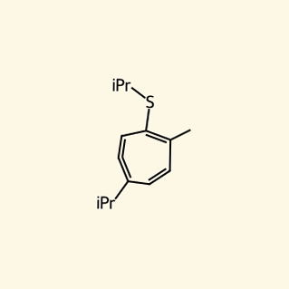 CC1=C(SC(C)C)C=C=C(C(C)C)C=C1